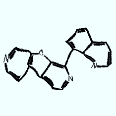 c1cnc2c(-c3nccc4c3oc3cnccc34)cccc2c1